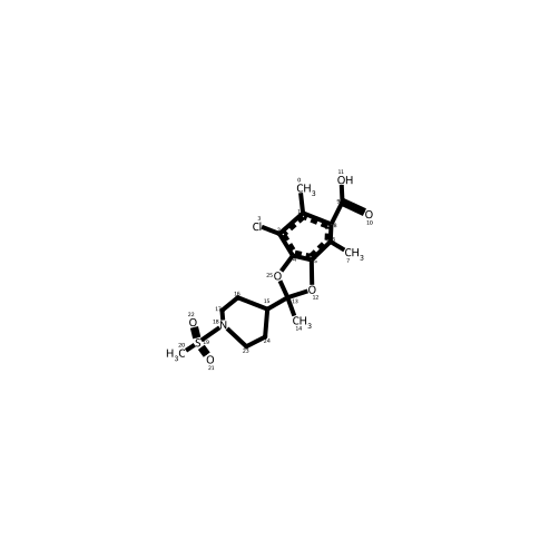 Cc1c(Cl)c2c(c(C)c1C(=O)O)OC(C)(C1CCN(S(C)(=O)=O)CC1)O2